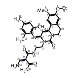 CCOc1cc2c(cc1OC)-c1c/c(=N\c3c(C)cc(C)cc3C)n(CCNC(=O)/C(=C/N)C(N)=O)c(=O)n1CC2